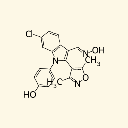 Cc1noc(C)c1-c1c(C=NO)c2ccc(Cl)cc2n1-c1ccc(O)cc1